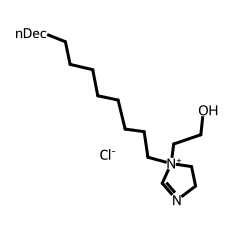 CCCCCCCCCCCCCCCCCC[N+]1(CCO)C=NCC1.[Cl-]